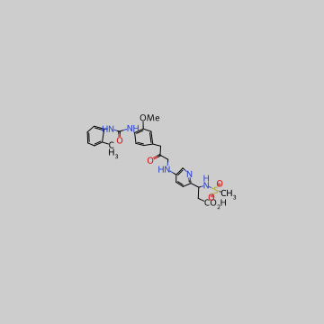 COc1cc(CC(=O)CNc2ccc(C(CC(=O)O)NS(C)(=O)=O)nc2)ccc1NC(=O)Nc1ccccc1C